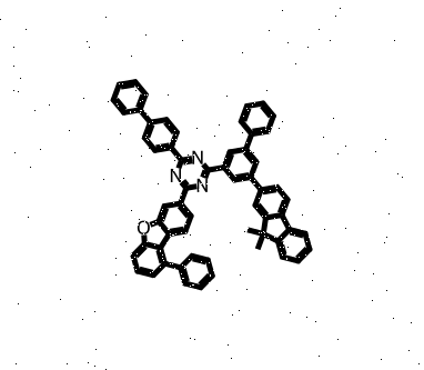 CC1(C)c2ccccc2-c2ccc(-c3cc(-c4ccccc4)cc(-c4nc(-c5ccc(-c6ccccc6)cc5)nc(-c5ccc6c(c5)oc5cccc(-c7ccccc7)c56)n4)c3)cc21